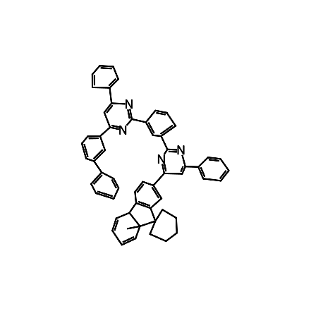 CC12C=CC=CC1c1ccc(-c3cc(-c4ccccc4)nc(-c4cccc(-c5nc(-c6ccccc6)cc(-c6cccc(-c7ccccc7)c6)n5)c4)n3)cc1C21CCCCC1